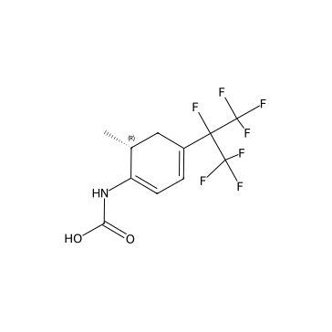 C[C@@H]1CC(C(F)(C(F)(F)F)C(F)(F)F)=CC=C1NC(=O)O